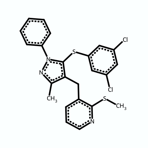 CSc1ncccc1Cc1c(C)nn(-c2ccccc2)c1Sc1cc(Cl)cc(Cl)c1